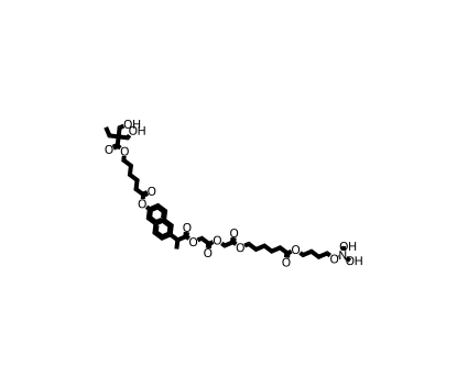 CCC(CO)(CO)C(=O)OCCCCCC(=O)Oc1ccc2cc(C(C)C(=O)OCC(=O)OCC(=O)OCCCCCC(=O)OCCCCON(O)O)ccc2c1